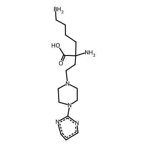 BCCCCC(N)(CCN1CCN(c2ncccn2)CC1)C(=O)O